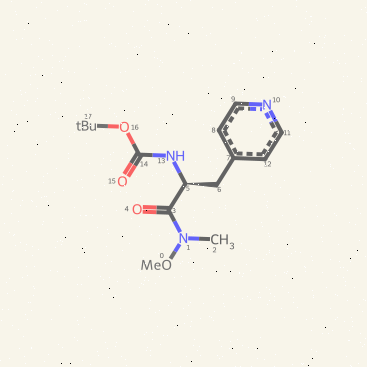 CON(C)C(=O)[C@H](Cc1ccncc1)NC(=O)OC(C)(C)C